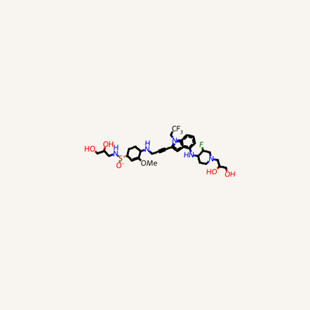 COC1=CC([S+]([O-])NCC(O)CO)CCC1NCC#Cc1cc2c(NC3CCN(CC(O)CO)CC3F)cccc2n1CC(F)(F)F